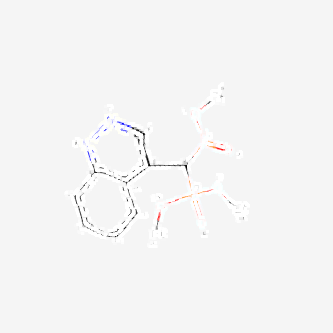 CCO[PH](=O)C(c1cnnc2ccccc12)P(=O)(OCC)OCC